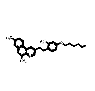 Cc1ccc2c(c1)nc(N)c1ncc(CCc3ccc(OCCCCCF)cc3C)cc12